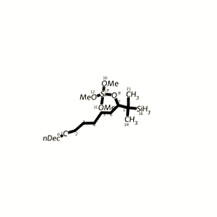 CCCCCCCCCCCCCCCCC(O[Si](OC)(OC)OC)C(C)(C)[SiH3]